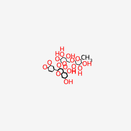 CC1OC(OCC2OC(Oc3c(C4=CC(=O)C(=O)C=C4)oc4cc(O)cc(O)c4c3=O)C(O)C(O)C2O)C(O)C(O)C1O